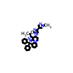 CC(C)c1nn(C(c2ccccc2)(c2ccccc2)c2ccccc2)c2nccc(-n3cnc(-c4cnn(C)c4)c3)c12